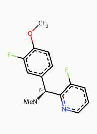 CN[C@@H](c1ccc(OC(F)(F)F)c(F)c1)c1ncccc1F